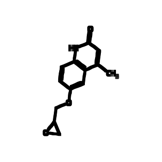 Cc1cc(=O)[nH]c2ccc(OCC3CO3)cc12